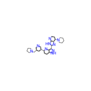 c1cc(N2CCCCC2)c2nc(-c3n[nH]c4ccc(-c5cncc(CN6CCCC6)c5)nc34)[nH]c2n1